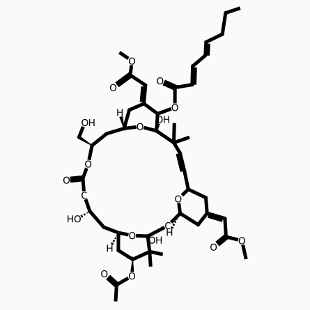 CCC/C=C/C=C/C(=O)OC1/C(=C/C(=O)OC)C[C@H]2C[C@H](CO)OC(=O)C[C@@H](O)C[C@@H]3C[C@H](OC(C)=O)C(C)(C)[C@](O)(C[C@@H]4C/C(=C\C(=O)OC)CC(/C=C/C(C)(C)[C@]1(O)O2)O4)O3